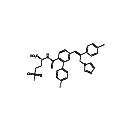 CS(=O)(=O)CC[C@H](NC(=O)c1ccc(C=C(Cn2ccnc2)c2ccc(F)cc2)cc1-c1ccc(F)cc1)C(=O)O